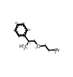 CC(C)CCOC[C@@H](C)c1ccccc1